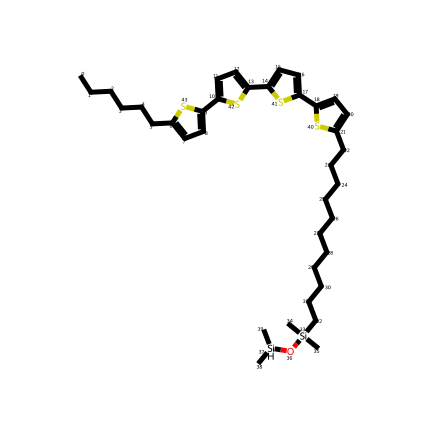 CCCCCCc1ccc(-c2ccc(-c3ccc(-c4ccc(CCCCCCCCCCC[Si](C)(C)O[SiH](C)C)s4)s3)s2)s1